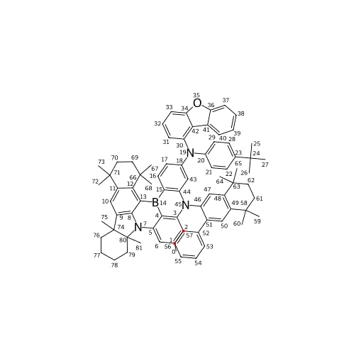 Cc1cc2c3c(c1)N1c4c(cc5c(c4B3c3ccc(N(c4ccc(C(C)(C)C)cc4)c4cccc6oc7ccccc7c46)cc3N2c2cc3c(cc2-c2ccccc2)C(C)(C)CCC3(C)C)C(C)(C)CCC5(C)C)C2(C)CCCCC12C